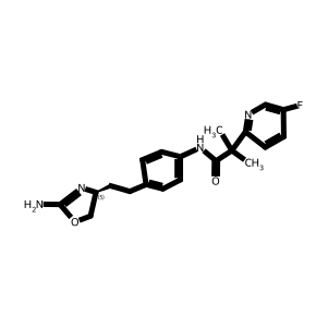 CC(C)(C(=O)Nc1ccc(CC[C@H]2COC(N)=N2)cc1)c1ccc(F)cn1